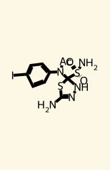 CC(=O)N(c1ccc(I)cc1)C1(S(N)(=O)=O)NN=C(N)S1